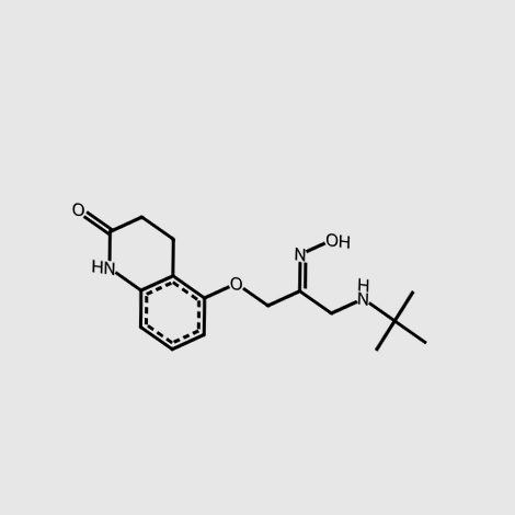 CC(C)(C)NCC(COc1cccc2c1CCC(=O)N2)=NO